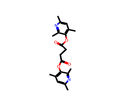 Cc1cc(C)c(OC(=O)CCC(=O)Oc2c(C)cc(C)nc2C)c(C)n1